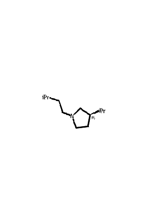 CC(C)CCN1CC[C@H](C(C)C)C1